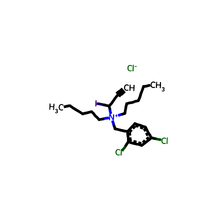 C#CC(I)[N+](CCCCC)(CCCCC)Cc1ccc(Cl)cc1Cl.[Cl-]